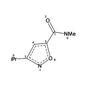 CNC(=O)c1cc(C(C)C)no1